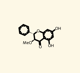 CO[C@@H]1C(=O)c2c(O)cc(O)cc2O[C@H]1c1ccccc1